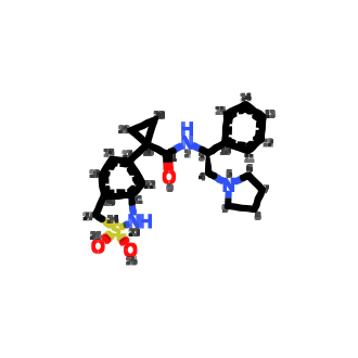 O=C(N[C@H](CN1CCCC1)c1ccccc1)C1(c2ccc3c(c2)NS(=O)(=O)C3)CC1